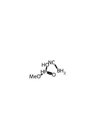 BC#N.CO[PH](=O)O